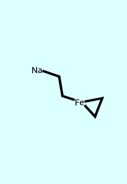 [Na][CH2][CH2][Fe]1[CH2][CH2]1